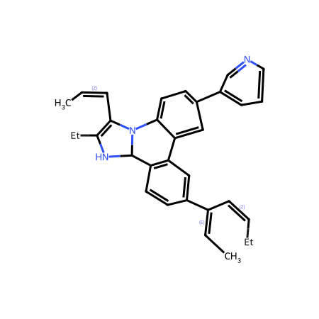 C/C=C\C1=C(CC)NC2c3ccc(C(/C=C\CC)=C/C)cc3-c3cc(-c4cccnc4)ccc3N12